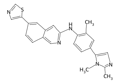 Cc1cc(-c2cnc(C)n2C)ccc1Nc1cc2cc(-c3cncs3)ccc2cn1